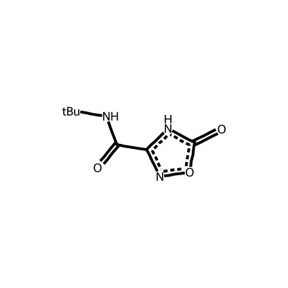 CC(C)(C)NC(=O)c1noc(=O)[nH]1